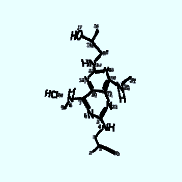 C=C(C)CNc1nc(NC)c2nc(NC[C@H](C)O)nc(NC)c2n1.Cl